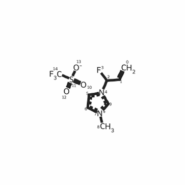 C=CC(F)n1cc[n+](C)c1.O=S(=O)([O-])C(F)(F)F